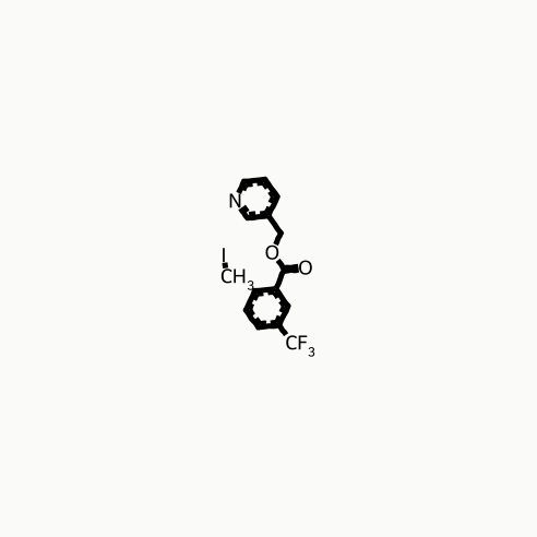 CI.O=C(OCc1cccnc1)c1cccc(C(F)(F)F)c1